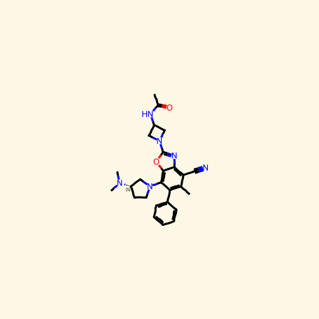 CC(=O)NC1CN(c2nc3c(C#N)c(C)c(-c4ccccc4)c(N4CC[C@H](N(C)C)C4)c3o2)C1